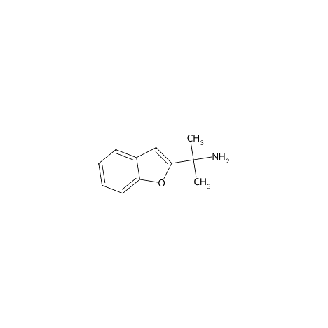 CC(C)(N)c1cc2ccccc2o1